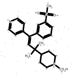 CC(C)(C=C(c1ccncc1)c1cccc(S(C)(=O)=O)c1)C1CCN(C(=O)O)CC1